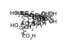 C=C(CCCC(=O)O)C(=O)O.C=C(CCCC(=O)O)C(=O)O.C=C(CCCC(=O)O)C(=O)O.C=C(CCCC(=O)O)C(=O)O.OCC(CO)(CO)CO.OCC(CO)(CO)CO